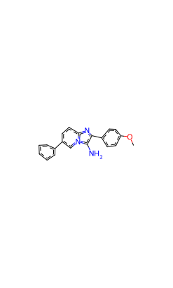 COc1ccc(-c2nc3ccc(-c4ccccc4)cn3c2N)cc1